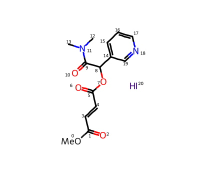 COC(=O)/C=C/C(=O)OC(C(=O)N(C)C)c1cccnc1.I